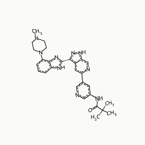 CN1CCN(c2cccc3[nH]c(-c4n[nH]c5cnc(-c6cncc(NC(=O)C(C)(C)C)c6)cc45)nc23)CC1